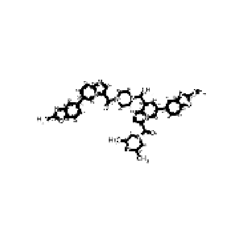 CC1CN(C(=O)c2cnc3c(C(C)N4CCN(C(=O)c5cnc6ccc(-c7ccc8oc(N)nc8c7)cn56)CC4)cc(-c4ccc5oc(N)nc5c4)cn23)CC(C)N1